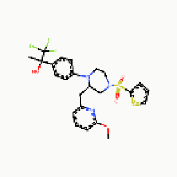 COc1cccc(C[C@@H]2CN(S(=O)(=O)c3cccs3)CCN2c2ccc(C(C)(O)C(F)(F)F)cc2)n1